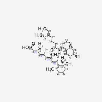 CC1=C(/C=C/C(C)=C/C=C/C(C)=C/C(=O)O)C(C)(C)CCC1.CCN(CC)CCCC(C)Nc1ccnc2cc(Cl)ccc12